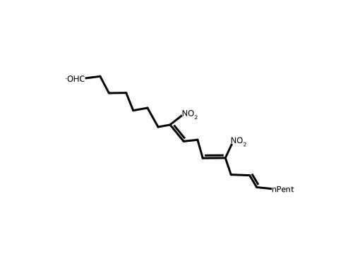 CCCCC/C=C/C/C(=C/C/C=C(/CCCCCC[C]=O)[N+](=O)[O-])[N+](=O)[O-]